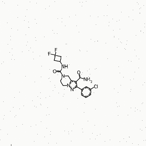 NC(=O)c1c(-c2cccc(Cl)c2)nn2c1CN(C(=O)NC1CC(F)(F)C1)CC2